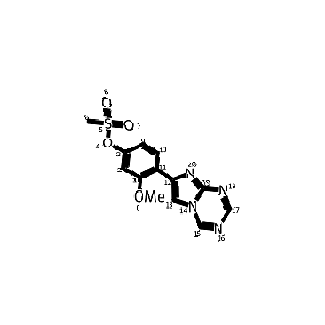 COc1cc(OS(C)(=O)=O)ccc1-c1cn2cncnc2n1